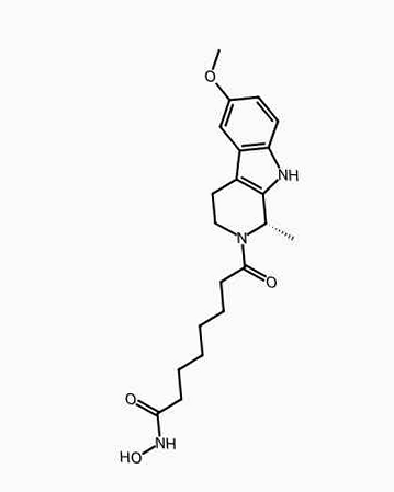 COc1ccc2[nH]c3c(c2c1)CCN(C(=O)CCCCCCC(=O)NO)[C@H]3C